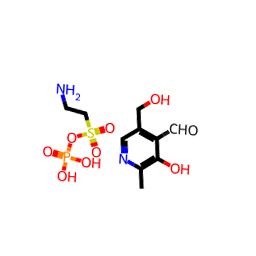 Cc1ncc(CO)c(C=O)c1O.NCCS(=O)(=O)OP(=O)(O)O